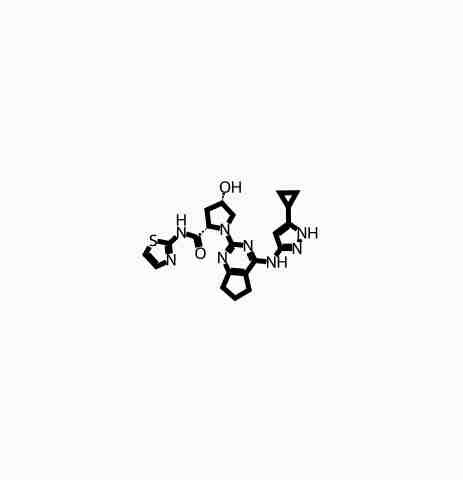 O=C(Nc1nccs1)[C@@H]1C[C@H](O)CN1c1nc2c(c(Nc3cc(C4CC4)[nH]n3)n1)CCC2